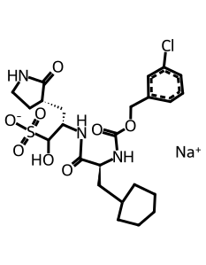 O=C(N[C@@H](CC1CCCCC1)C(=O)N[C@@H](C[C@@H]1CCNC1=O)C(O)S(=O)(=O)[O-])OCc1cccc(Cl)c1.[Na+]